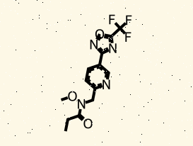 CCC(=O)N(Cc1ccc(-c2noc(C(F)(F)F)n2)cn1)OC